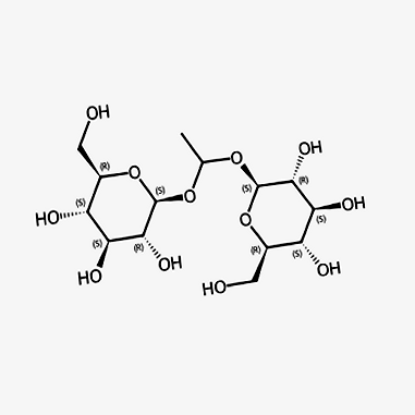 CC(O[C@@H]1O[C@H](CO)[C@@H](O)[C@H](O)[C@H]1O)O[C@@H]1O[C@H](CO)[C@@H](O)[C@H](O)[C@H]1O